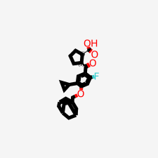 O=C(O)[C@H]1CCC[C@@H]1C(=O)c1cc(C2CC2)c(OCC23CC4CC(CC(C4)C2)C3)cc1F